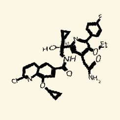 CCOc1c(CC(N)=O)cc([C@@](O)(CNC(=O)c2cc(OC3CC3)c3nc(Cl)ccc3c2)C2CC2)nc1-c1ccc(F)cc1